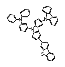 c1ccc(N(c2ccccc2)c2cccc(-n3c4ccc(-c5ccc6c(c5)sc5ccccc56)cc4c4cc(-n5c6ccccc6c6ccccc65)ccc43)c2)cc1